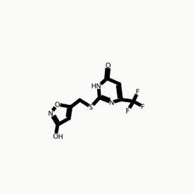 O=c1cc(C(F)(F)F)nc(SCc2cc(O)no2)[nH]1